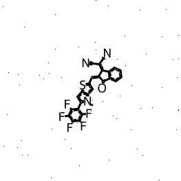 Cn1c(-c2c(F)c(F)c(F)c(F)c2F)cc2sc(/C=C3\C(=O)c4ccccc4C3=C(C#N)C#N)cc21